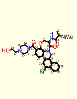 CNC(C)C(=O)NC1COc2c(C(=O)N3CCN(CCO)CC3)cccc2N(Cc2ccc(Br)c3ccccc23)C1=O